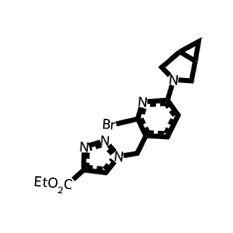 CCOC(=O)c1cn(Cc2ccc(N3CC4CC4C3)nc2Br)nn1